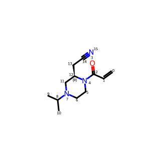 C=CC(=O)N1CCN(C(C)C)C[C@H]1CC#N